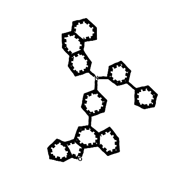 c1ccc(-c2cccc(N(c3ccc(-c4cc5c6ccccc6oc5c5ccccc45)cc3)c3ccc4ccc5ccccc5c4c3)c2)cc1